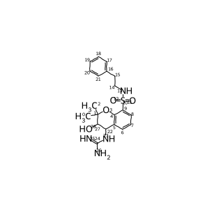 CC1(C)Oc2c(cccc2S(=O)(=O)NCCc2ccccc2)C(NC(=N)N)C1O